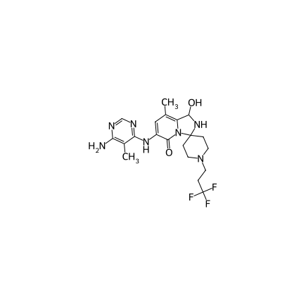 Cc1cc(Nc2ncnc(N)c2C)c(=O)n2c1C(O)NC21CCN(CCC(F)(F)F)CC1